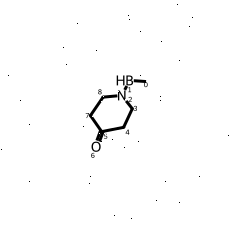 CBN1CCC(=O)CC1